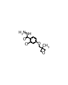 CC1(COc2ccc(C(=O)NN)c(Cl)c2)COC1